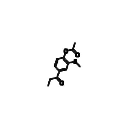 CCC(=O)c1ccc(OC(C)=O)c(SC)c1